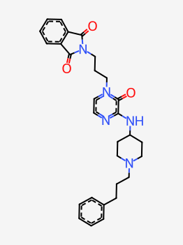 O=C1c2ccccc2C(=O)N1CCCn1ccnc(NC2CCN(CCCc3ccccc3)CC2)c1=O